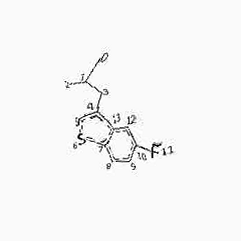 CC(C)Cc1csc2ccc(F)cc12